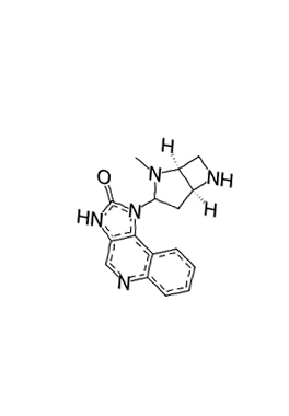 CN1C(n2c(=O)[nH]c3cnc4ccccc4c32)C[C@@H]2NC[C@@H]21